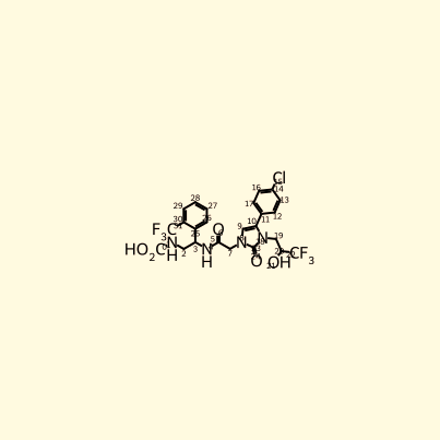 O=C(O)NCC(NC(=O)Cn1cc(-c2ccc(Cl)cc2)n(CC(O)C(F)(F)F)c1=O)c1ccccc1C(F)(F)F